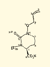 C=CCON1CC[C@@H](C(=O)O)N(CC)C1=O